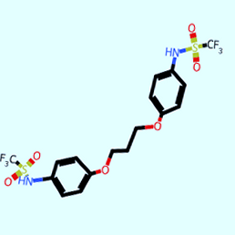 O=S(=O)(Nc1ccc(OCCCOc2ccc(NS(=O)(=O)C(F)(F)F)cc2)cc1)C(F)(F)F